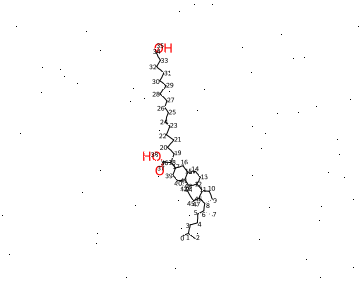 CC(C)CCC[C@@H](C)[C@H]1CCC2C3CC=C4CC(C(CCCCCCCCCCCCCCCCO)C(=O)O)CC[C@]4(C)C3CC[C@@]21C